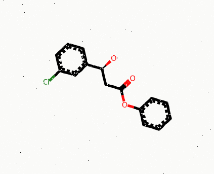 [O][C@@H](CC(=O)Oc1ccccc1)c1cccc(Cl)c1